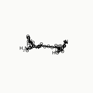 Cc1ncsc1-c1ccc(CNC(=O)[C@@H]2C[C@@H](O)CN2C(=O)[C@@H](NC(=O)CCOCCOCCOCCC(=O)N2CCN(Cc3ccc(NC(=O)c4coc(N5CCOCC5)n4)c(N4CCC(C(N)=O)CC4)c3)CC2)C(C)(C)C)cc1